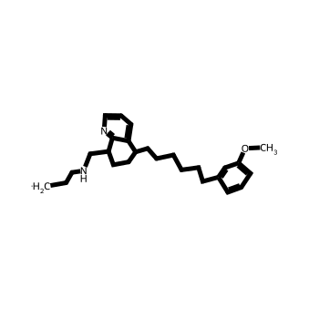 [CH2]CCNCC1CCC(CCCCCCc2cccc(OC)c2)c2cccnc21